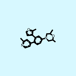 Cc1cc(-c2ccc(N3CC(C)OC(C)C3)cc2-c2ccoc2C)ccn1